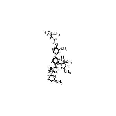 Cc1cc(-c2ccc(C(=O)NS(=O)(=O)c3cccc(N)n3)c(N3C[C@@H](C)CC3(C)C)n2)cnc1OCCOC(C)C